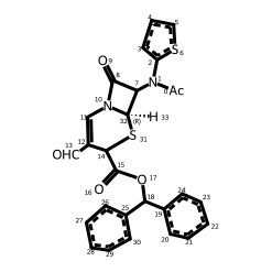 CC(=O)N(c1cccs1)C1C(=O)N2C=C(C=O)C(C(=O)OC(c3ccccc3)c3ccccc3)S[C@H]12